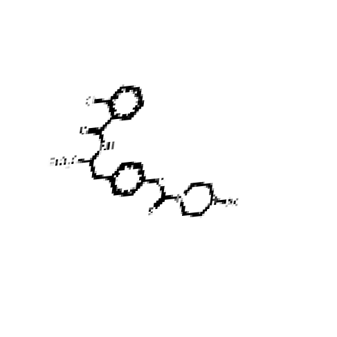 CCOC(=O)[C@H](Cc1ccc(OC(=S)N2CCN(C(C)=O)CC2)cc1)NC(=O)c1ccccc1Cl